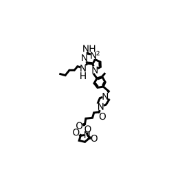 CCCCCNc1nc(N)nc2ccn(Cc3ccc(CN4CCN(C(=O)CCCC(=O)ON5C(=O)CCC5=O)CC4)cc3C)c12